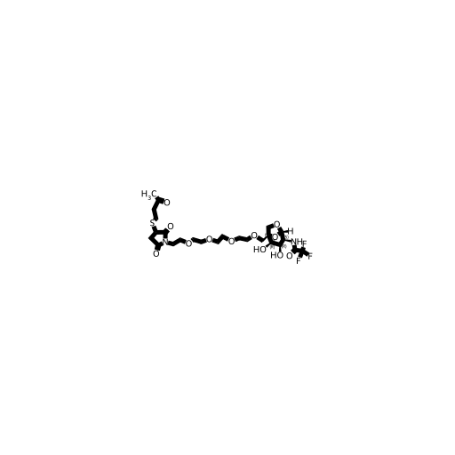 CC(=O)CCSC1CC(=O)N(CCOCCOCCOCCOC[C@@]23CO[C@@H](O2)[C@@H](NC(=O)C(F)(F)F)[C@@H](O)[C@H]3O)C1=O